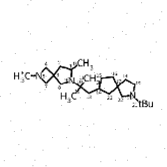 CC1CC2(CN(C)C2)CN1C(C)(C)CC1CCC2(CCN(C(C)(C)C)C2)C1